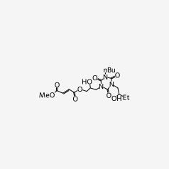 CCCCn1c(=O)n(CC(O)CC)c(=O)n(CC(O)COC(=O)/C=C/C(=O)OC)c1=O